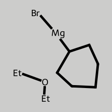 CCOCC.[Br][Mg][CH]1CCCCC1